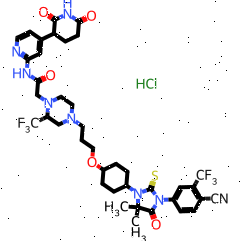 CC1(C)C(=O)N(c2ccc(C#N)c(C(F)(F)F)c2)C(=S)N1C1CCC(OCCCN2CCN(CC(=O)Nc3cc(C4CCC(=O)NC4=O)ccn3)C(C(F)(F)F)C2)CC1.Cl